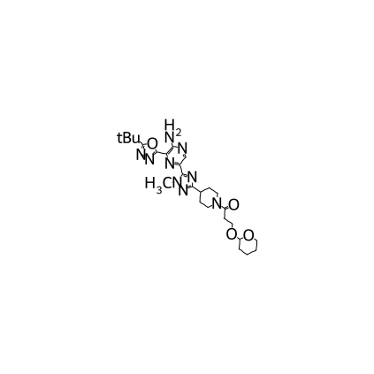 Cn1nc(C2CCN(C(=O)CCOC3CCCCO3)CC2)nc1-c1cnc(N)c(-c2nnc(C(C)(C)C)o2)n1